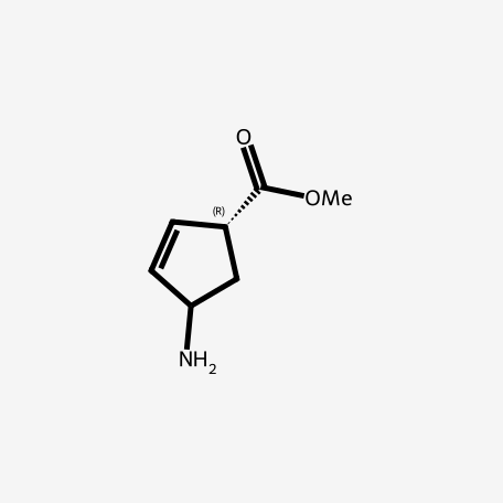 COC(=O)[C@H]1C=CC(N)C1